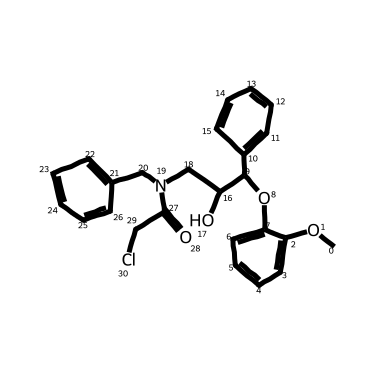 COc1ccccc1OC(c1ccccc1)C(O)CN(Cc1ccccc1)C(=O)CCl